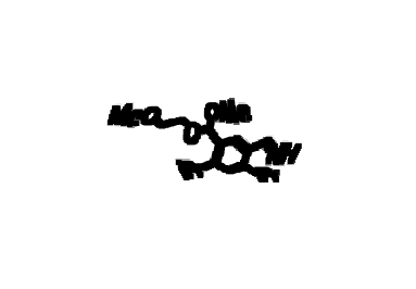 COCCOC(OC)c1cc(C=N)c(C(C)C)cc1C(C)C